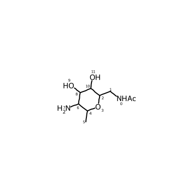 CC(=O)NCC1OC(C)C(N)C(O)C1O